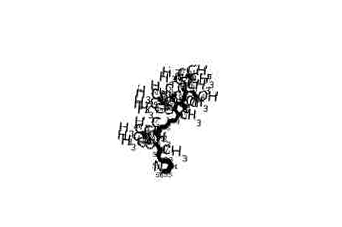 CCC[C@@H](C(=O)C(C)(C)[C@H](CC(=O)O)O[Si](C)(C)C(C)(C)C)[C@@H](O[Si](C)(C)C(C)(C)C)[C@@H](C)CCC/C(C)=C\C[C@H](O[Si](C)(C)C(C)(C)C)/C(C)=C/c1ccccn1